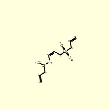 C=CC[S+]([O-])S/C=C\CS(=O)(=O)CC=C